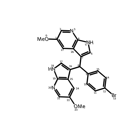 COc1cnc2[nH]cc(C(c3ccc(Br)cc3)c3c[nH]c4ncc(OC)cc34)c2c1